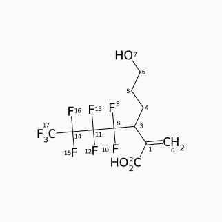 C=C(C(=O)O)C(CCCO)C(F)(F)C(F)(F)C(F)(F)C(F)(F)F